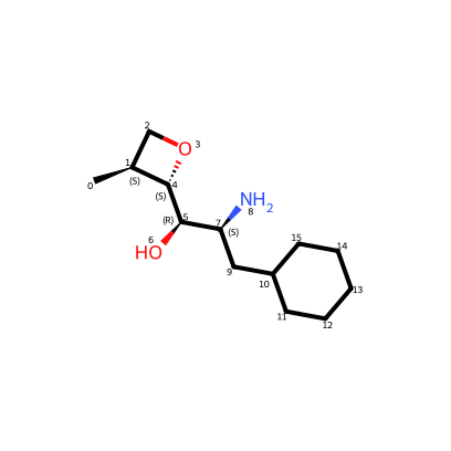 C[C@H]1CO[C@@H]1[C@H](O)[C@@H](N)CC1CCCCC1